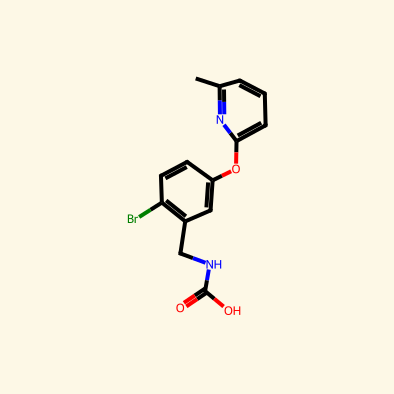 Cc1cccc(Oc2ccc(Br)c(CNC(=O)O)c2)n1